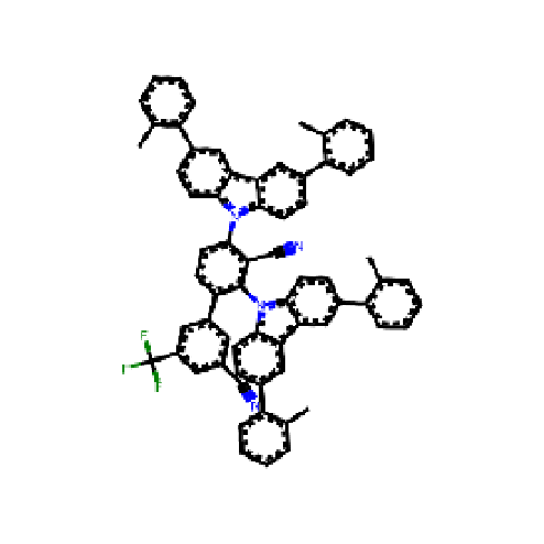 Cc1ccccc1-c1ccc2c(c1)c1cc(-c3ccccc3C)ccc1n2-c1ccc(-c2cc(C#N)cc(C(F)(F)F)c2)c(-n2c3ccc(-c4ccccc4C)cc3c3cc(-c4ccccc4C)ccc32)c1C#N